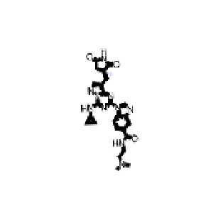 CN(C)CCNC(=O)c1ccc2c(c1)ncn2-c1nc(NC2CC2)n2ncc(/C=C3\CC(=O)NC3=O)c2n1